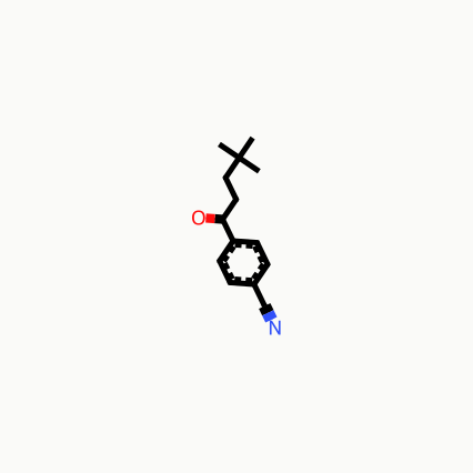 CC(C)(C)CCC(=O)c1ccc(C#N)cc1